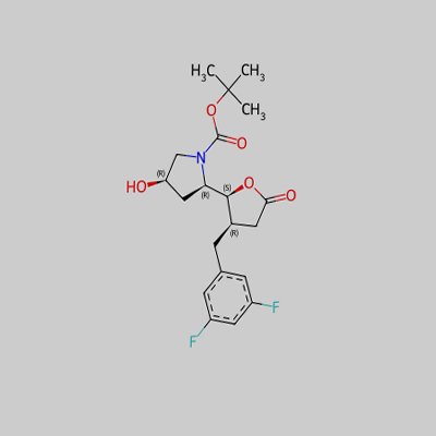 CC(C)(C)OC(=O)N1C[C@H](O)C[C@@H]1[C@H]1OC(=O)C[C@H]1Cc1cc(F)cc(F)c1